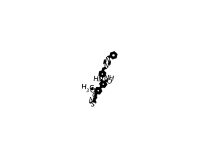 COc1cc(-c2ccc3c(c2)Nc2ccc(CCN4CCN(CC5CCCCC5)CC4)cc2NC3=O)ccc1OCc1cscn1